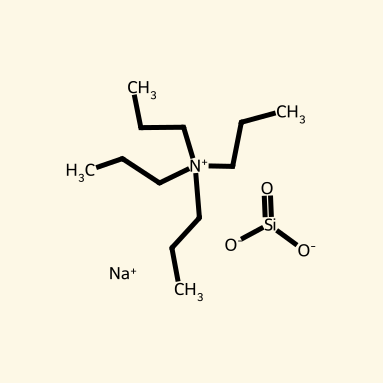 CCC[N+](CCC)(CCC)CCC.O=[Si]([O-])[O-].[Na+]